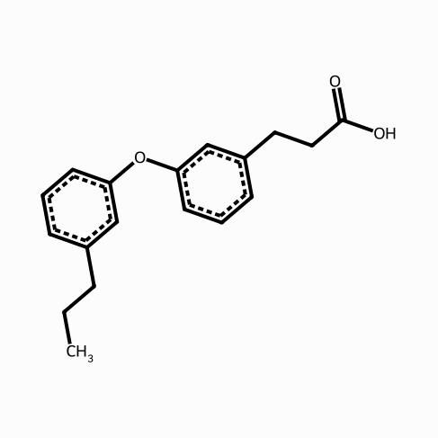 CCCc1cccc(Oc2cccc(CCC(=O)O)c2)c1